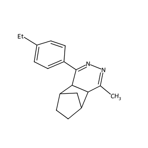 CCc1ccc(C2=NN=C(C)C3C4CCC(C4)C23)cc1